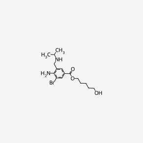 CC(C)NCc1cc(C(=O)OCCCCCO)cc(Br)c1N